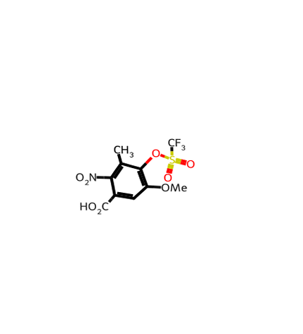 COc1cc(C(=O)O)c([N+](=O)[O-])c(C)c1OS(=O)(=O)C(F)(F)F